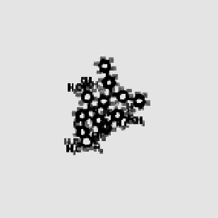 Cc1cc2c3c(c1)N(c1ccc(C(C)(C)C)cc1-c1ccccc1)c1cc(N(c4ccc(-c5ccccc5)cc4)c4ccc(-c5ccccc5)cc4)ccc1B3N(c1ccc(C(C)(C)C)cc1)c1ccc3sc4cc5c(cc4c3c1-2)C(C)(C)CCC5(C)C